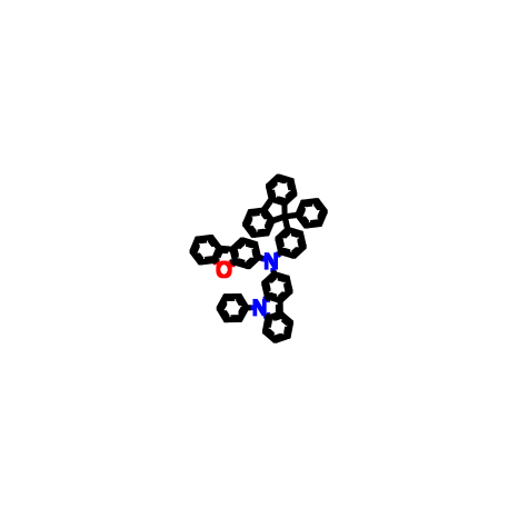 c1ccc(-n2c3ccccc3c3ccc(N(c4cccc(C5(c6ccccc6)c6ccccc6-c6ccccc65)c4)c4ccc5c(c4)oc4ccccc45)cc32)cc1